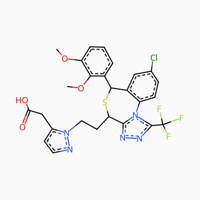 COc1cccc(C2SC(CCn3nccc3CC(=O)O)c3nnc(C(F)(F)F)n3-c3ccc(Cl)cc32)c1OC